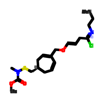 CNCC/N=C(/Cl)CC=COCC1=CC[C@@H](CSN(C)C(=O)OC(C)(C)C)CC=C1